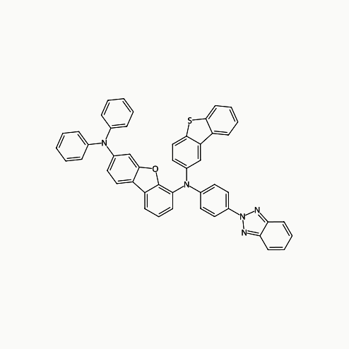 c1ccc(N(c2ccccc2)c2ccc3c(c2)oc2c(N(c4ccc(-n5nc6ccccc6n5)cc4)c4ccc5sc6ccccc6c5c4)cccc23)cc1